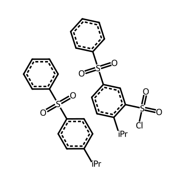 CC(C)c1ccc(S(=O)(=O)c2ccccc2)cc1.CC(C)c1ccc(S(=O)(=O)c2ccccc2)cc1S(=O)(=O)Cl